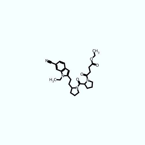 CCOC(=O)CCC(=O)N1CCCC1C(=O)N1CCCC1CCc1cc2ccc(C#N)cc2n1CC